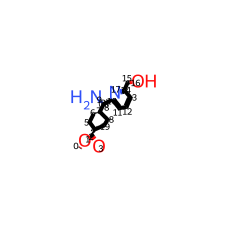 COC(=O)[C@H]1CC[C@H]([C@@H](N)c2cccc(CO)n2)CC1